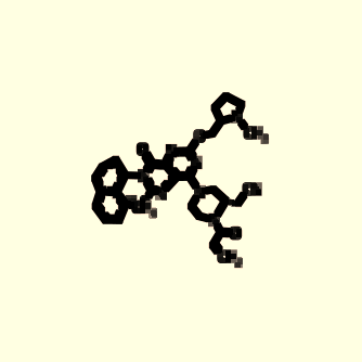 C=CC(=O)N1CCN(c2nc(OCC3CCCN3C)nc3c(=O)n(-c4cccc5cccc(C)c45)c(C)nc23)C[C@@H]1CC#N